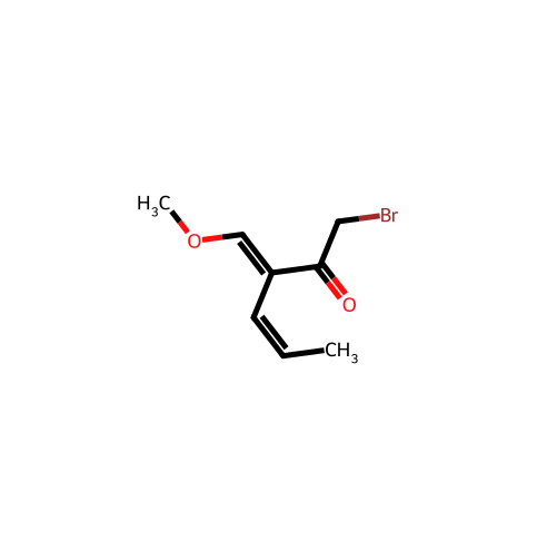 C/C=C\C(=C/OC)C(=O)CBr